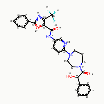 O=C(Nc1ccc(N2CCCN(C(=O)[C@H](O)c3ccccc3)CC2)nc1)c1oc(-c2ccccc2)nc1C(F)(F)F